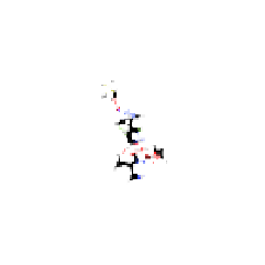 Cc1nn(COCCS(C)(C)C)c(C)c1-c1c(F)cc(OC(=O)C(NC(=O)OC(C)(C)C)C(C2CC2)C2CC2)nc1F